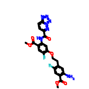 COC(=O)c1cc(F)c(CCOc2cc(NC(=O)c3ccc4nnnn4n3)c(C(=O)OC)cc2F)cc1N